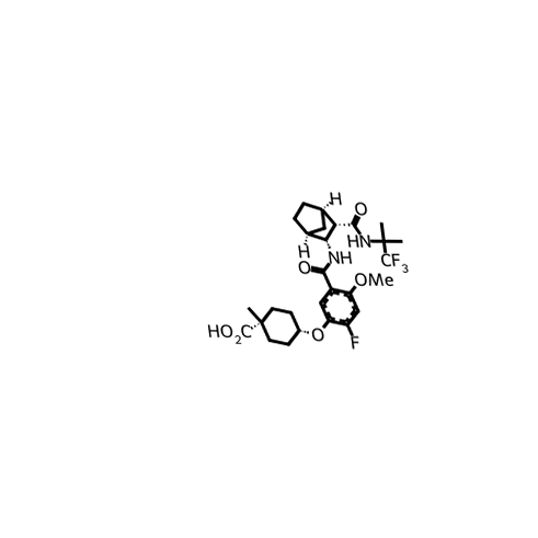 COc1cc(F)c(O[C@H]2CC[C@@](C)(C(=O)O)CC2)cc1C(=O)N[C@@H]1[C@H]2CC[C@H](C2)[C@@H]1C(=O)NC(C)(C)C(F)(F)F